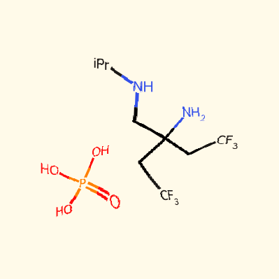 CC(C)NCC(N)(CC(F)(F)F)CC(F)(F)F.O=P(O)(O)O